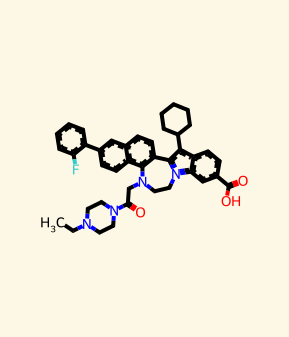 CCN1CCN(C(=O)CN2CCn3c(c(C4CCCCC4)c4ccc(C(=O)O)cc43)-c3ccc4cc(-c5ccccc5F)ccc4c32)CC1